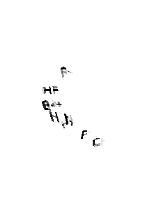 F.N.[B+3].[Cl-].[F-].[F-]